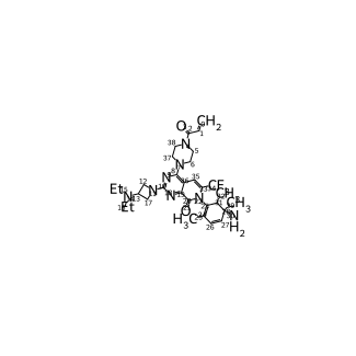 C=CC(=O)N1CCN(c2nc(N3CC(N(CC)CC)C3)nc3c(=O)n(C4=C(C)C=CC(C)(N)C4C)c(C(F)(F)F)cc23)CC1